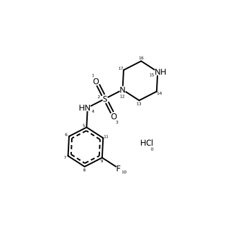 Cl.O=S(=O)(Nc1cccc(F)c1)N1CCNCC1